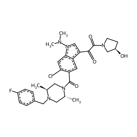 C[C@@H]1CN(Cc2ccc(F)cc2)[C@@H](C)CN1C(=O)c1cc2c(C(=O)C(=O)N3CC[C@@H](O)C3)cn(N(C)C)c2cc1Cl